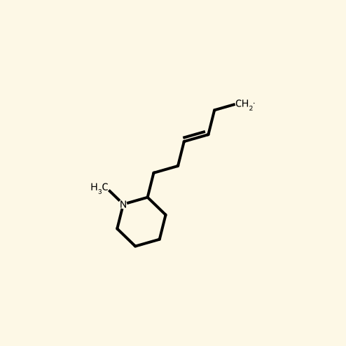 [CH2]CC=CCCC1CCCCN1C